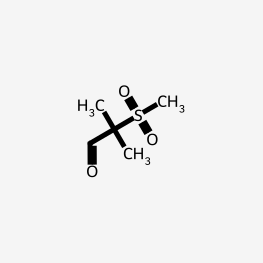 CC(C)(C=O)S(C)(=O)=O